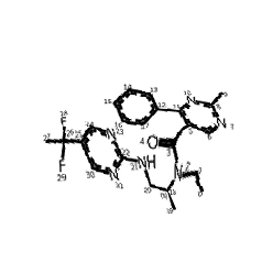 CCN(C(=O)c1cnc(C)nc1-c1ccccc1)[C@@H](C)CNc1ncc(C(C)(F)F)cn1